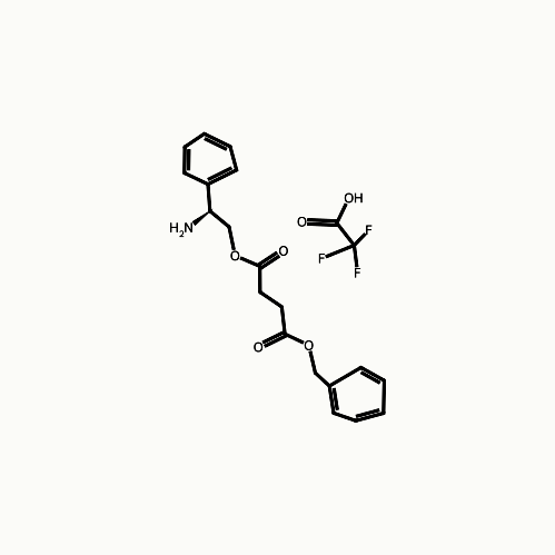 N[C@H](COC(=O)CCC(=O)OCc1ccccc1)c1ccccc1.O=C(O)C(F)(F)F